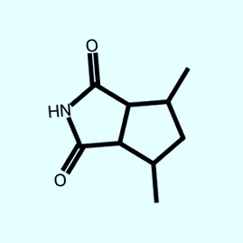 CC1CC(C)C2C(=O)NC(=O)C12